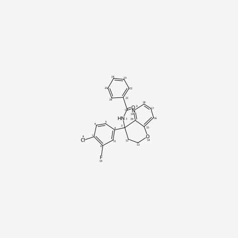 O=C(NC1(c2ccc(Cl)c(F)c2)CCOc2cccnc21)c1ccccc1